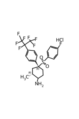 C[C@@H]1C[C@](c2ccc(C(F)(C(F)(F)F)C(F)(F)F)cc2)(S(=O)(=O)c2ccc(F)cc2)CCC1N.Cl